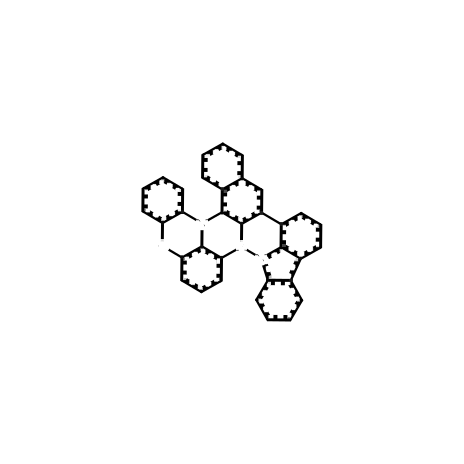 c1ccc2c(c1)Oc1cccc3c1N2c1c2c(cc4ccccc14)-c1cccc4c5ccccc5n(c14)B32